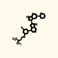 CN(C)CCOc1cc(F)cc(-c2cncc3[nH]c(-c4n[nH]c5ncc(-c6ccccn6)cc45)cc23)c1